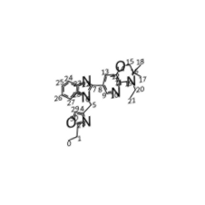 CCc1nc(Cn2c(-c3cnc4c(c3)OCC(C)(C)N4CC)nc3ccccc32)co1